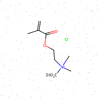 C=C(C)C(=O)OCC[N+](C)(C)C(=O)OCC.[Cl-]